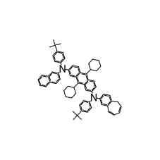 CC(C)(C)c1ccc(N(c2ccc3c(c2)C=CC=CC3)c2ccc3c(C4CCCCC4)c4ccc(N(c5ccc(C(C)(C)C)cc5)c5ccc6ccccc6c5)cc4c(C4CCCCC4)c3c2)cc1